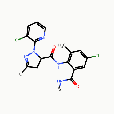 Cc1cc(Cl)cc(C(=O)NC(C)C)c1NC(=O)C1CC(C(F)(F)F)=NN1c1ncccc1Cl